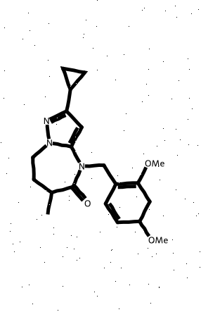 COC1=C(CN2C(=O)C(C)CCn3nc(C4CC4)cc32)C=CC(OC)C1